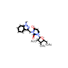 CC(=O)OCC1OC(n2ccc(=O)n(Cc3nn(C)c4ccccc34)c2=O)[C@@H](OC(C)=O)C1OC(C)=O